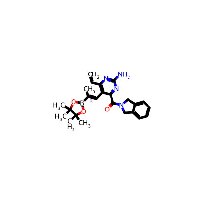 C=Cc1nc(N)nc(C(=O)N2Cc3ccccc3C2)c1/C=C(\C)B1OC(C)(C)C(C)(C)O1